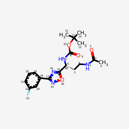 CC(=O)NCC[C@@H](NC(=O)OC(C)(C)C)c1nc(-c2cccc(F)c2)no1